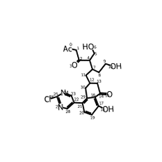 CC(=O)CC(=O)C(CO)C(CCO)CC1CC(=O)c2c(O)ccc(-c3cnc(Cl)nc3)c2C1